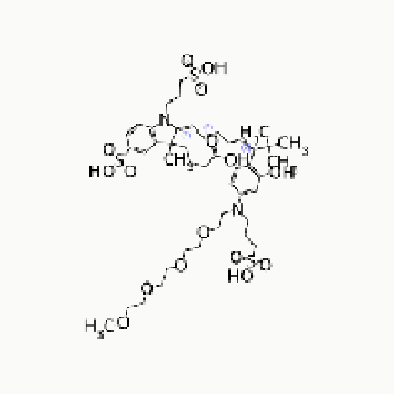 COCCOCCOCCOCCN(CCCS(=O)(=O)O)c1ccc(/C(=C\C/C=C/C=C2/N(CCCS(=O)(=O)O)c3ccc(S(=O)(=O)O)cc3C2(C)CCCC(=O)O)C(C)(C)C)c(O)c1